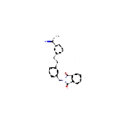 CNC(=N)c1cccc(CCc2cccc(CN3C(=O)c4ccccc4C3=O)c2)c1.Cl